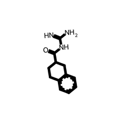 N=C(N)NC(=O)C1CCc2ccccc2C1